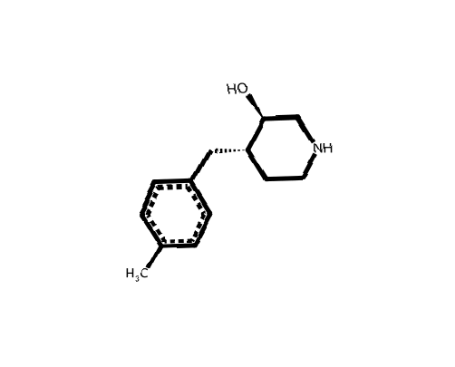 Cc1ccc(C[C@H]2CCNC[C@@H]2O)cc1